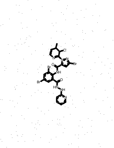 CC1C=CN=C(n2nc(Br)cc2C(=O)Nc2c(Br)cc(Br)cc2C(=O)NNc2ccccn2)C1Cl